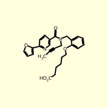 CC#CCN(Cc1ccccc1OCCCCCC(=O)O)C(=O)c1ccc(-c2ccco2)nc1